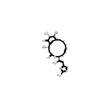 C/C(=C\c1csc(C)n1)[C@@H]1C/C=C\CCC[C@@H]2C=C(C(=O)[C@H](C)[C@H]2O)[C@@H](O)CC(=O)O1